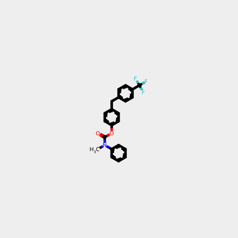 CN(C(=O)Oc1ccc(Cc2ccc(C(F)(F)F)cc2)cc1)c1ccccc1